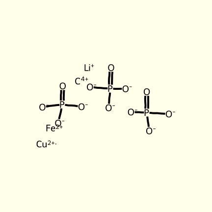 O=P([O-])([O-])[O-].O=P([O-])([O-])[O-].O=P([O-])([O-])[O-].[C+4].[Cu+2].[Fe+2].[Li+]